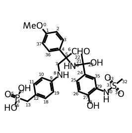 COc1ccc(C(C=O)(CNc2ccc(CP(=O)(O)O)cc2)NC(C)(O)c2ccc(O)c(NS(C)(=O)=O)c2)cc1